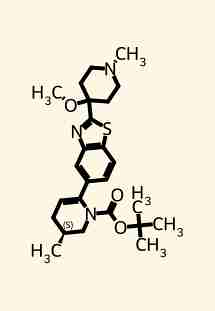 COC1(c2nc3cc(C4=CC[C@H](C)CN4C(=O)OC(C)(C)C)ccc3s2)CCN(C)CC1